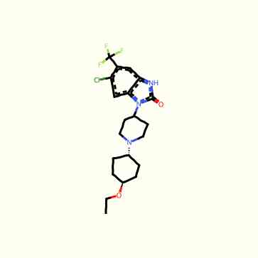 CCO[C@H]1CC[C@H](N2CCC(n3c(=O)[nH]c4cc(C(F)(F)F)c(Cl)cc43)CC2)CC1